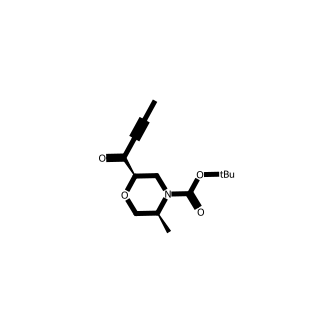 CC#CC(=O)[C@H]1CN(C(=O)OC(C)(C)C)[C@@H](C)CO1